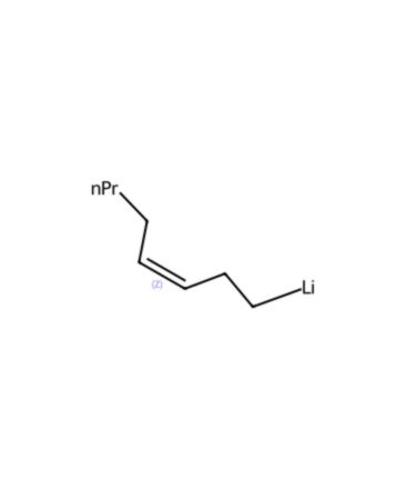 [Li][CH2]C/C=C\CCCC